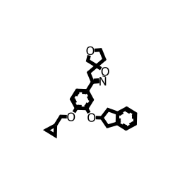 c1ccc2c(c1)CC(Oc1cc(C3=NOC4(CCOC4)C3)ccc1OCC1CC1)C2